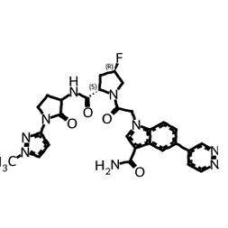 Cn1ccc(N2CCC(NC(=O)[C@@H]3C[C@@H](F)CN3C(=O)Cn3cc(C(N)=O)c4cc(-c5ccnnc5)ccc43)C2=O)n1